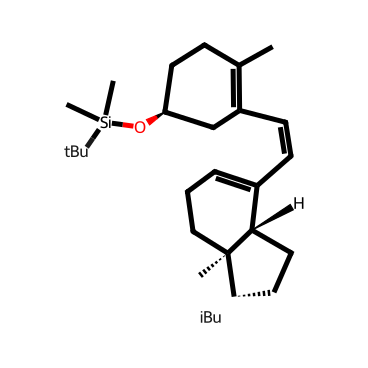 CC[C@H](C)[C@H]1CC[C@H]2C(/C=C\C3=C(C)CC[C@H](O[Si](C)(C)C(C)(C)C)C3)=CCC[C@]12C